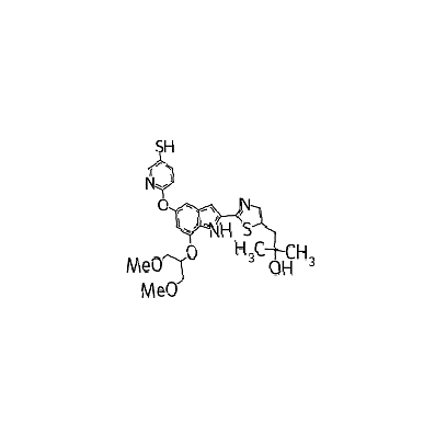 COCC(COC)Oc1cc(Oc2ccc(S)cn2)cc2cc(C3=NCC(CC(C)(C)O)S3)[nH]c12